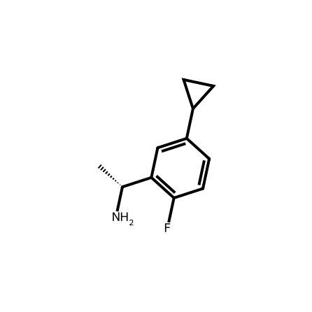 C[C@@H](N)c1cc(C2CC2)ccc1F